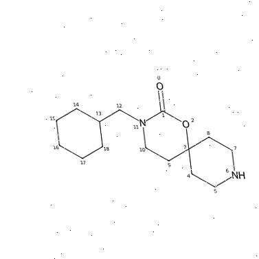 O=C1OC2(CCNCC2)CCN1CC1CCCCC1